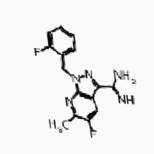 Cc1nc2c(cc1F)c(C(=N)N)nn2Cc1ccccc1F